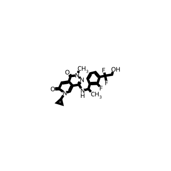 CC(Nc1nn(C)c(=O)c2cc(=O)n(C3CC3)cc12)c1cccc(C(F)(F)CO)c1F